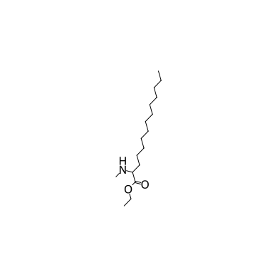 CCCCCCCCCCCCC(NC)C(=O)OCC